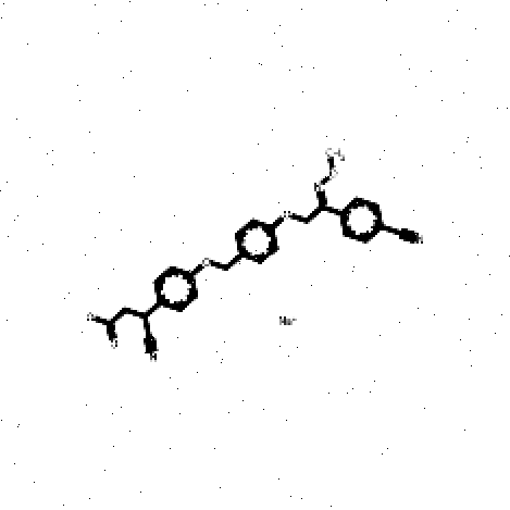 CON=C(COc1ccc(COc2ccc(C(C#N)CC(=O)[O-])cc2)cc1)c1ccc(C#N)cc1.[Na+]